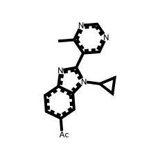 CC(=O)c1ccc2nc(-c3cncnc3C)n(C3CC3)c2c1